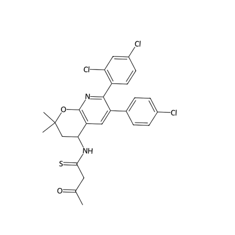 CC(=O)CC(=S)NC1CC(C)(C)Oc2nc(-c3ccc(Cl)cc3Cl)c(-c3ccc(Cl)cc3)cc21